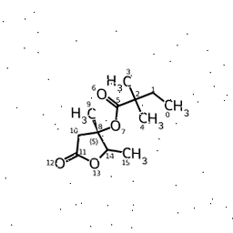 CCC(C)(C)C(=O)O[C@@]1(C)CC(=O)OC1C